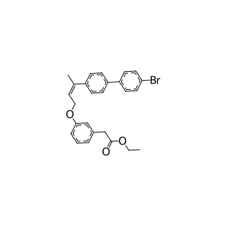 CCOC(=O)Cc1cccc(OC/C=C(/C)c2ccc(-c3ccc(Br)cc3)cc2)c1